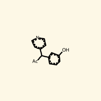 CC(=O)C(c1ccncc1)c1cccc(O)c1